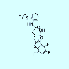 CSc1ccccc1NC(=O)CC(Cc1nc2c(F)c(F)cc(F)c2s1)C(=O)O